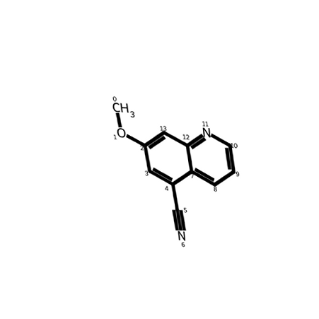 COc1cc(C#N)c2cccnc2c1